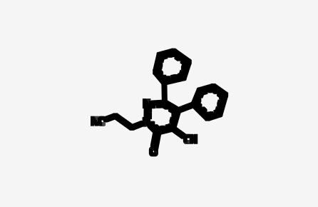 N#CCCn1nc(-c2ccccc2)c(-c2ccccc2)c(C#N)c1=O